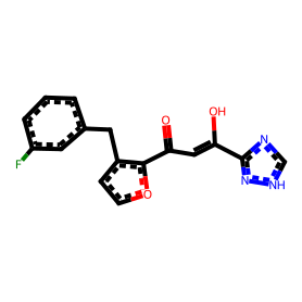 O=C(C=C(O)c1nc[nH]n1)c1occc1Cc1cccc(F)c1